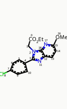 CCOC(=O)Cn1c(-c2ccc(Cl)cc2)nc2ccc(OC)nc21